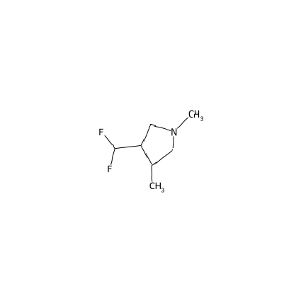 CC1CN(C)CC1C(F)F